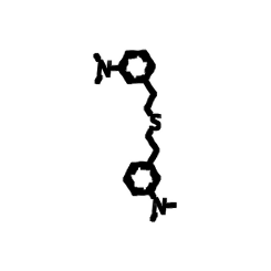 CN(C)c1cccc(CCSCCc2cccc(N(C)C)c2)c1